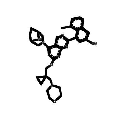 Cc1cccc2cc(O)cc(-c3ncc4c(N5CC6CCC(C5)N6)nc(OCC5(CN6CCOCC6)CC5)nc4n3)c12